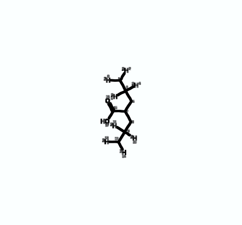 [2H]C([2H])C([2H])([2H])CC(CC([2H])([2H])C([2H])[2H])C(=O)O